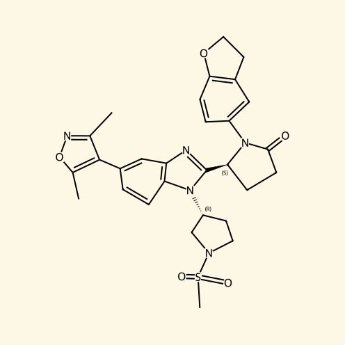 Cc1noc(C)c1-c1ccc2c(c1)nc([C@@H]1CCC(=O)N1c1ccc3c(c1)CCO3)n2[C@@H]1CCN(S(C)(=O)=O)C1